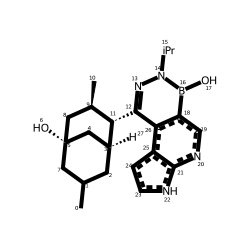 CC1C[C@H]2C[C@@](O)(C1)C[C@@H](C)[C@@H]2C1=NN(C(C)C)B(O)c2cnc3[nH]ccc3c21